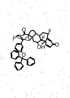 CC12C=CC(=O)C=C1C(F)CC1C3CCC(OC(=O)c4cccc(OC(c5ccccc5)(c5ccccc5)c5ccccc5)c4)(C(=O)SCF)C3(C)CC(O)C12F